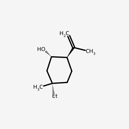 C=C(C)[C@H]1CC[C@](C)(CC)C[C@@H]1O